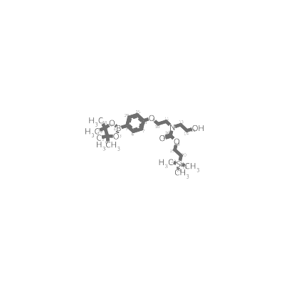 CC1(C)OB(c2ccc(OCCN(CCO)C(=O)OCC[Si](C)(C)C)cc2)OC1(C)C